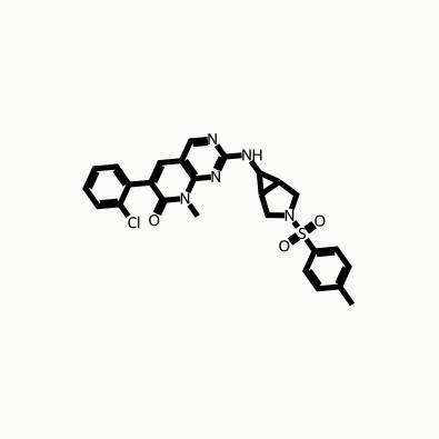 Cc1ccc(S(=O)(=O)N2CC3C(C2)C3Nc2ncc3cc(-c4ccccc4Cl)c(=O)n(C)c3n2)cc1